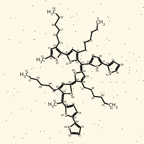 CCCCCCc1cc(-c2sc(C)cc2CCCCCC)sc1/C(c1ccc(-c2cccs2)s1)=c1/cc(CCCCCC)/c(=c2/cc(CCCCCC)/c(=C(\C)c3ccc(-c4cccs4)s3)s2)s1